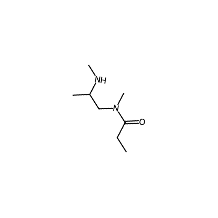 CCC(=O)N(C)CC(C)NC